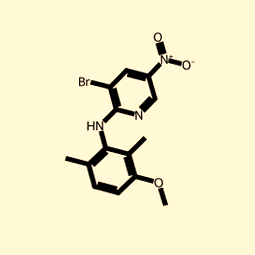 COc1ccc(C)c(Nc2ncc([N+](=O)[O-])cc2Br)c1C